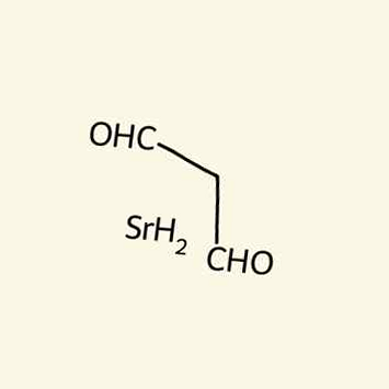 O=CCC=O.[SrH2]